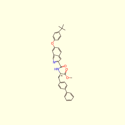 COC(=O)[C@@H](Cc1ccc(-c2ccccc2)cc1)NC(=O)c1cc2ccc(Oc3ccc(C(C)(C)C)cc3)cc2cn1